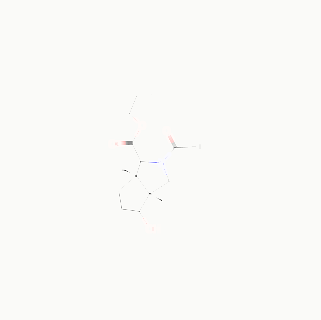 BC(=O)N1C[C@@H]2C(O)CC[C@@H]2C1C(=O)OCC